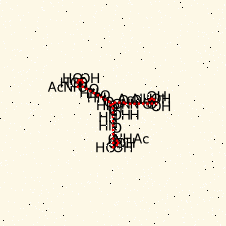 CC(=O)NC1C(O)[C@@H](O)C(CO)O[C@H]1OCCCCC(=O)NCCCNC(=O)CCOCC(COCCC(=O)NCCCNC(=O)CCCCO[C@@H]1OC(CO)[C@H](O)C(O)C1NC(C)=O)(COCCC(=O)NCCCNC(=O)CCCCO[C@@H]1OC(CO)[C@H](O)C(O)C1NC(C)=O)NC(C)C